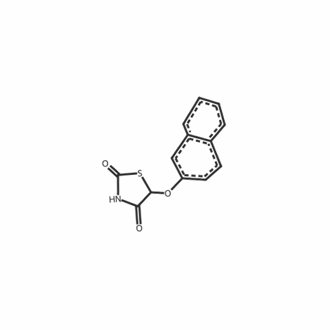 O=C1NC(=O)C(Oc2ccc3ccccc3c2)S1